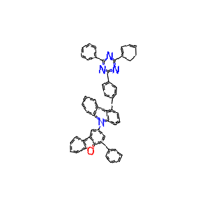 C1=CCCC(c2nc(-c3ccccc3)nc(-c3ccc(-c4cccc5c4c4ccccc4n5-c4cc(-c5ccccc5)c5oc6ccccc6c5c4)cc3)n2)=C1